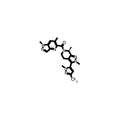 Cc1cc2c(cnn2C)nc1C(=O)N1CCc2c(nn(C)c2-c2cc(C(F)(F)F)nn2C)[C@@H]1C